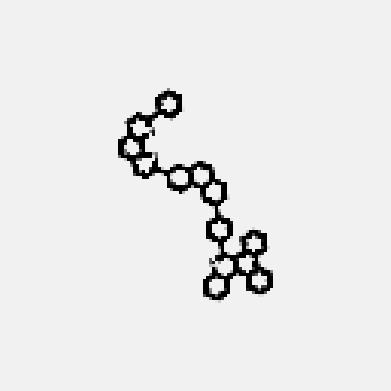 C1=CC2N=C(c3ccc(C4=CC5C6=C(C=CC5C=C4)CC(c4ccc5ccc7ccc(-c8ccccc8)nc7c5n4)C=C6)cc3)c3c(c4ccccc4c4ccccc34)C2C=C1